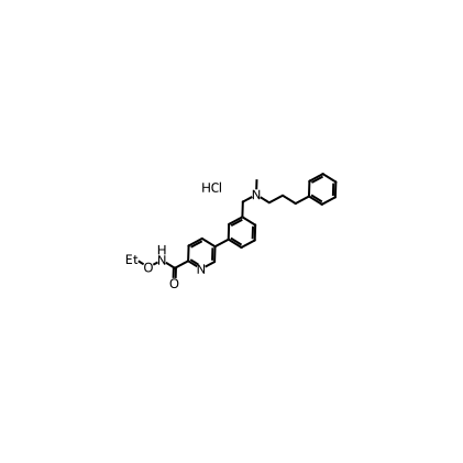 CCONC(=O)c1ccc(-c2cccc(CN(C)CCCc3ccccc3)c2)cn1.Cl